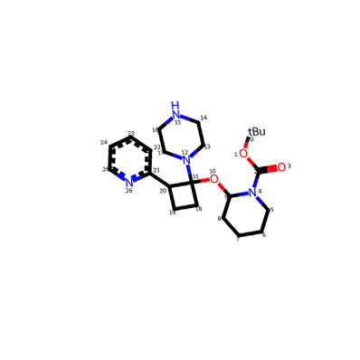 CC(C)(C)OC(=O)N1CCCCC1OC1(N2CCNCC2)CCC1c1ccccn1